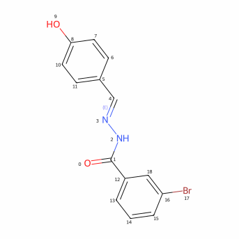 O=C(N/N=C/c1ccc(O)cc1)c1cccc(Br)c1